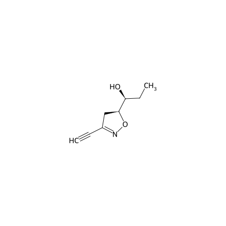 C#CC1=NO[C@H]([C@@H](O)CC)C1